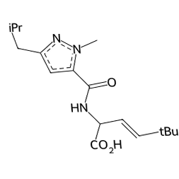 CC(C)Cc1cc(C(=O)NC(/C=C/C(C)(C)C)C(=O)O)n(C)n1